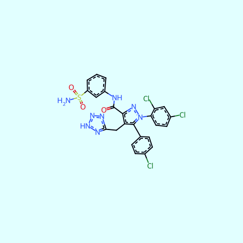 NS(=O)(=O)c1cccc(NC(=O)c2nn(-c3ccc(Cl)cc3Cl)c(-c3ccc(Cl)cc3)c2Cc2nn[nH]n2)c1